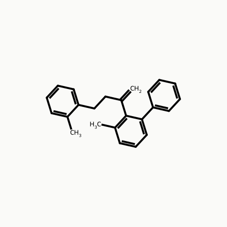 C=C(CCc1ccccc1C)c1c(C)cccc1-c1ccccc1